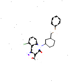 Cc1onc2c1c(=O)n(C1CCCC(C[S+]([O-])c3ccccc3)C1)c1cccc(Cl)c21